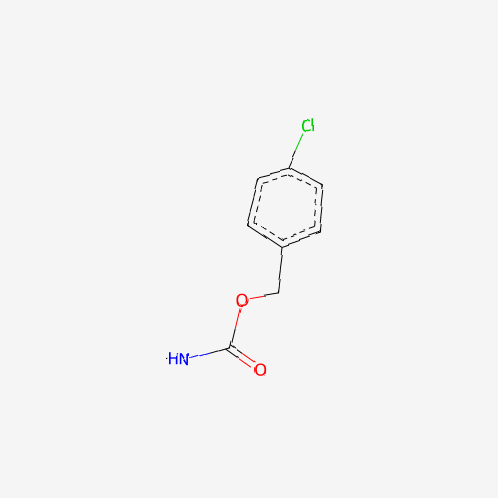 [NH]C(=O)OCc1ccc(Cl)cc1